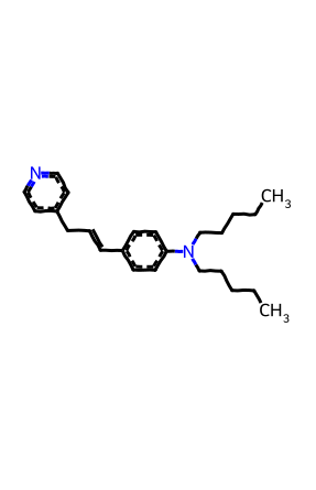 CCCCCN(CCCCC)c1ccc(C=CCc2ccncc2)cc1